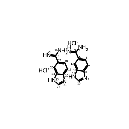 Cl.Cl.N=C(N)c1ccc2nc[nH]c2c1.N=C(N)c1ccc2nc[nH]c2c1